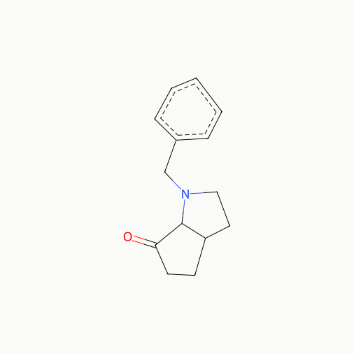 O=C1CCC2CCN(Cc3ccccc3)C12